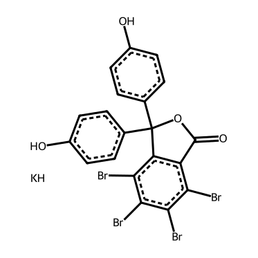 O=C1OC(c2ccc(O)cc2)(c2ccc(O)cc2)c2c(Br)c(Br)c(Br)c(Br)c21.[KH]